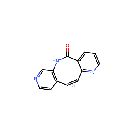 O=C1Nc2cnccc2/C=C\c2ncccc21